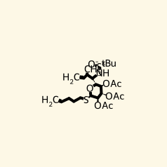 C=CCCCS[C@H]1O[C@H](C(N[S@+]([O-])C(C)(C)C)C(C)C=C)[C@H](OC(C)=O)[C@H](OC(C)=O)[C@H]1OC(C)=O